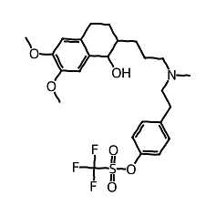 COc1cc2c(cc1OC)C(O)C(CCCN(C)CCc1ccc(OS(=O)(=O)C(F)(F)F)cc1)CC2